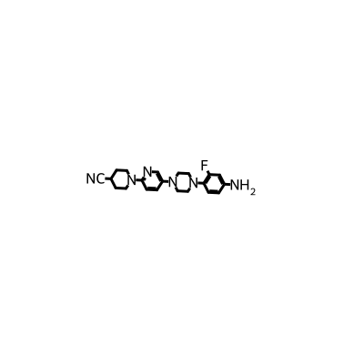 N#CC1CCN(c2ccc(N3CCN(c4ccc(N)cc4F)CC3)cn2)CC1